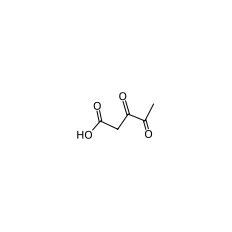 CC(=O)C(=O)CC(=O)O